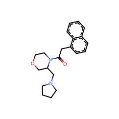 O=C(Cc1cccc2ccccc12)N1CCOCC1CN1CCCC1